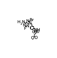 COC(=O)CCS(=O)(=O)Nc1cccc(Cn2c(Br)nc3c(N)nc(F)nc32)c1